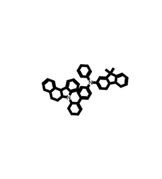 CC1(C)C2=CC=CCC2C2CC=C(N(C3=CCCC=C3)c3ccc(C4=CCCCC4N4c5ccccc5C5C6=CC=CCC6CCC54)cc3)C=C21